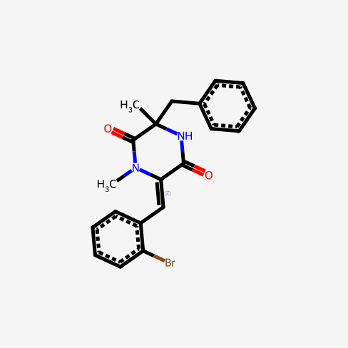 CN1C(=O)C(C)(Cc2ccccc2)NC(=O)/C1=C/c1ccccc1Br